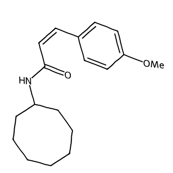 COc1ccc(/C=C\C(=O)NC2CCCCCCC2)cc1